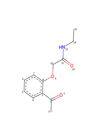 [CH2]C(=O)c1ccccc1OCC(=O)NCC